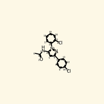 CC(=O)Nc1cc(-c2ccc(Cl)cc2)nn1-c1ccccc1Cl